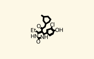 CCC1=C(C(=O)CC2CCCC(C)C2)C(c2ccc(O)c(Cl)c2)NC(=O)N1